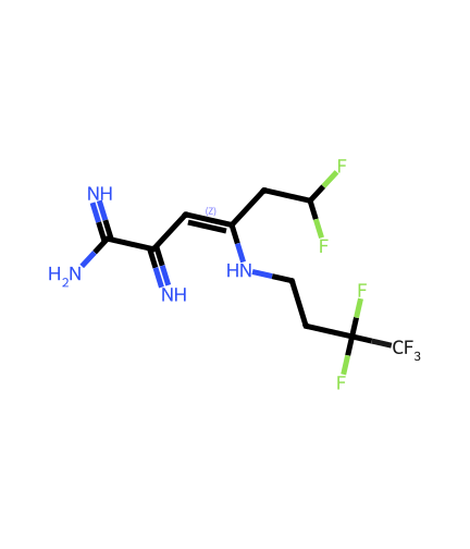 N=C(N)C(=N)/C=C(/CC(F)F)NCCC(F)(F)C(F)(F)F